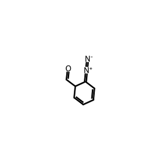 [N-]=[N+]=C1C=CC=CC1C=O